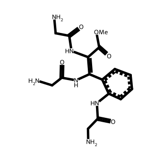 COC(=O)C(NC(=O)CN)=C(NC(=O)CN)c1ccccc1NC(=O)CN